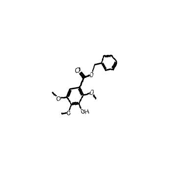 COc1cc(C(=O)OCc2ccccc2)c(OC)c(O)c1OC